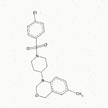 CCc1ccc(S(=O)(=O)N2CCC(N3COCc4cc(C)ccc43)CC2)cc1